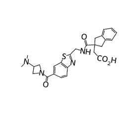 CN(C)C1CN(C(=O)c2ccc3nc(CNC(=O)C4(CC(=O)O)Cc5ccccc5C4)sc3c2)C1